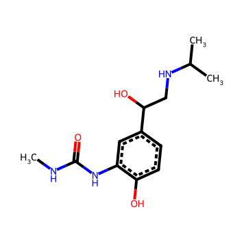 CNC(=O)Nc1cc(C(O)CNC(C)C)ccc1O